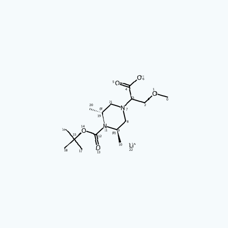 COCC(C(=O)[O-])N1C[C@@H](C)N(C(=O)OC(C)(C)C)[C@H](C)C1.[Li+]